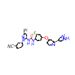 CC(C)c1cc(NC(=O)Nc2ccc(Oc3ccnc(-c4cn[nH]c4)c3)cc2F)n(-c2cccc(C#N)c2)n1